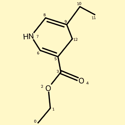 CCOC(=O)C1=CNC=C(CC)C1